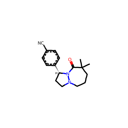 CC1(C)CCCN2CC[C@H](c3ccc(C#N)cc3)N2C1=O